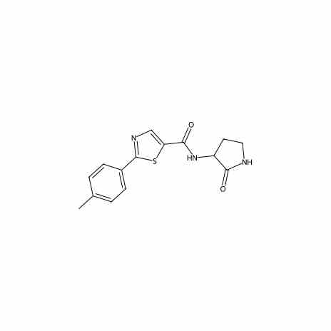 Cc1ccc(-c2ncc(C(=O)NC3CCNC3=O)s2)cc1